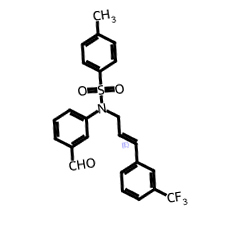 Cc1ccc(S(=O)(=O)N(C/C=C/c2cccc(C(F)(F)F)c2)c2cccc(C=O)c2)cc1